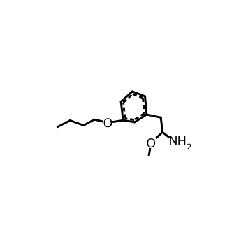 CCCCOc1cccc(CC(N)OC)c1